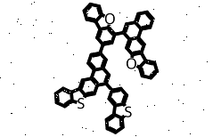 c1ccc2c(c1)cc(-c1cc(-c3ccc4c(c3)cc(-c3ccc5sc6ccccc6c5c3)c3cc5sc6ccccc6c5cc34)cc3c1oc1ccccc13)c1cc3oc4ccccc4c3cc12